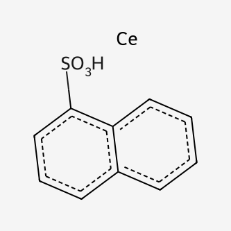 O=S(=O)(O)c1cccc2ccccc12.[Ce]